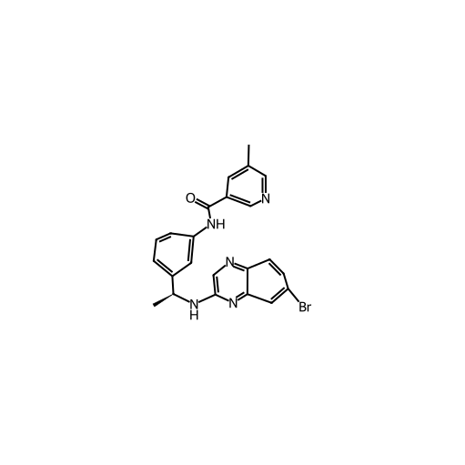 Cc1cncc(C(=O)Nc2cccc([C@H](C)Nc3cnc4ccc(Br)cc4n3)c2)c1